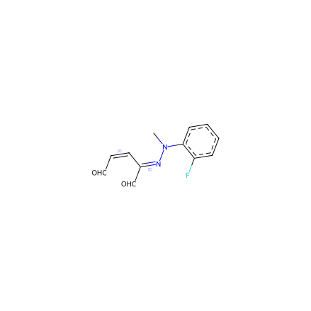 CN(/N=C(C=O)\C=C/C=O)c1ccccc1F